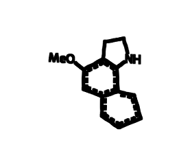 COc1cc2ccccc2c2c1CCN2